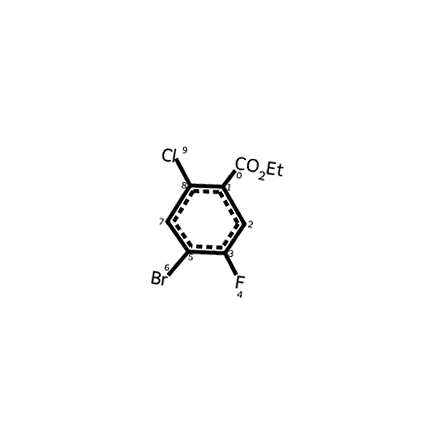 CCOC(=O)c1cc(F)c(Br)cc1Cl